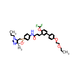 CCCOCCOc1ccc(-c2ccc(OC(F)F)c(/C=C/C(=O)Nc3ccc([S+]([O-])Cc4c(C)ncn4CCC)cc3)c2)cc1